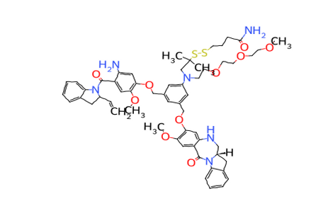 C=CC1Cc2ccccc2N1C(=O)c1cc(OC)c(OCc2cc(COc3cc4c(cc3OC)C(=O)N3c5ccccc5C[C@H]3CN4)cc(N(CCOCCOCCOC)CC(C)(C)SSCCCC(N)=O)c2)cc1N